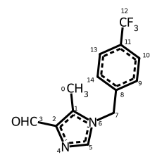 Cc1c(C=O)ncn1Cc1ccc(C(F)(F)F)cc1